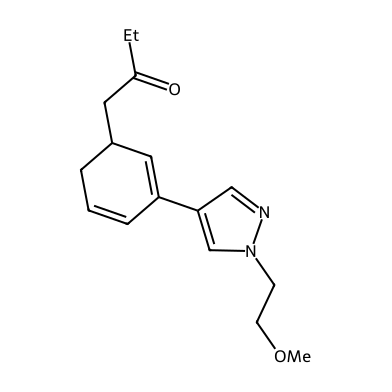 CCC(=O)CC1C=C(c2cnn(CCOC)c2)C=CC1